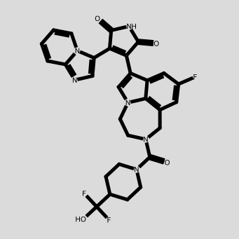 O=C1NC(=O)C(c2cnc3ccccn23)=C1c1cn2c3c(cc(F)cc13)CN(C(=O)N1CCC(C(O)(F)F)CC1)CC2